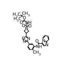 Cc1ccc(-c2noc(C3CN(S(=O)(=O)NC(=O)OC(C)(C)C)C3)n2)cc1NC(=O)c1cnc2ccccn12